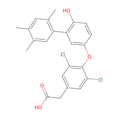 Cc1cc(C)c(-c2cc(Oc3c(Cl)cc(CC(=O)O)cc3Cl)ccc2O)cc1C